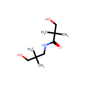 CC(C)(CO)CNC(=O)C(C)(C)CO